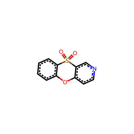 O=S1(=O)c2ccccc2Oc2ccncc21